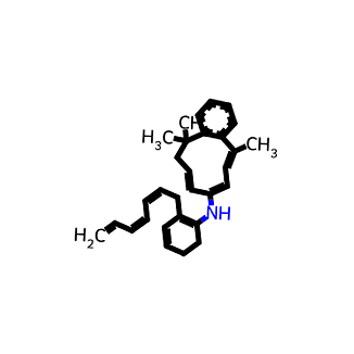 C=C/C=C\C=C/CC1=C(NC2=C/C=C(\C)c3ccccc3C(C)(C)C\C=C\2)CCC=C1